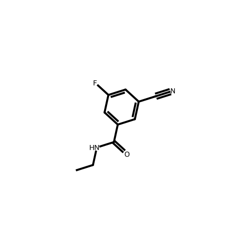 CCNC(=O)c1cc(F)cc(C#N)c1